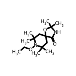 CCON1C(C)(C)CC2(CC1(C)C)OC(C)(C)NC2=O